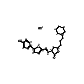 Cl.O=C1OC(CCCN2CCCCC2)CN1N=Cc1ccc(-c2ccc(Cl)cc2)o1